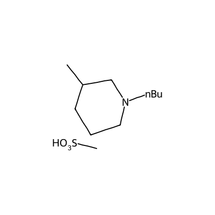 CCCCN1CCCC(C)C1.CS(=O)(=O)O